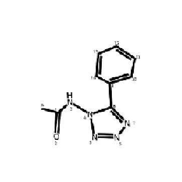 CC(=O)Nn1nnnc1-c1ccccc1